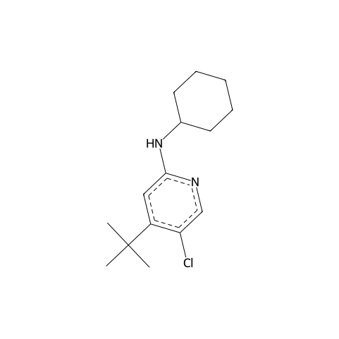 CC(C)(C)c1cc(NC2CCCCC2)ncc1Cl